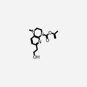 C=C(C)OC(=O)N1CCN(C)c2ccc(CCO)nc21